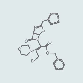 O=C(OCc1ccccc1)C(=C(CBr)N1CCOCC1)N1C(=O)C2N=C(Cc3ccccc3)SC21